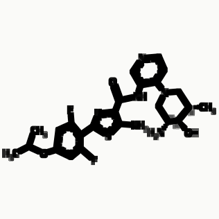 CC(C)Oc1cc(F)c(-c2nc(C(=O)Nc3cnccc3N3C[C@@H](N)[C@H](O)[C@@H](C)C3)c(N)s2)c(F)c1